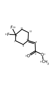 COC(=O)C=C1CCC(F)(F)CC1